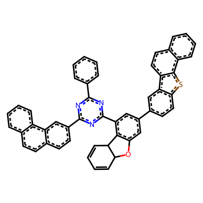 C1=CC2Oc3cc(-c4ccc5sc6c7ccccc7ccc6c5c4)cc(-c4nc(-c5ccccc5)nc(-c5ccc6ccc7ccccc7c6c5)n4)c3C2C=C1